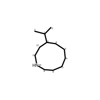 CC(C)C1CCCCCCNCC1